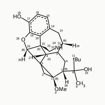 CO[C@]12CC[C@H]3C(C[C@@H]1C(C)(O)C(C)(C)C)[C@H]1Cc4ccc(O)c5c4[C@@]3(CCN1)[C@H]2O5